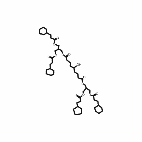 O=C(CCCC(O)CCCC(=O)OCC(COC(=O)CCC1CCCCC1)COC(=O)CCC1CCCCC1)OCC(COC(=O)CCC1CCCCC1)COC(=O)CCC1CCCCC1